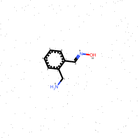 NCc1cc[c]cc1C=NO